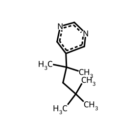 CC(C)(C)CC(C)(C)c1cncnc1